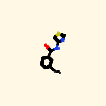 O=C(Nc1cscn1)c1cccc([N+](=O)[O-])c1